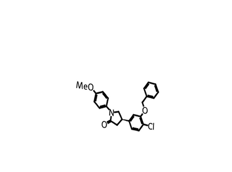 COc1ccc(N2C[C@@H](c3ccc(Cl)c(OCc4ccccc4)c3)CC2=O)cc1